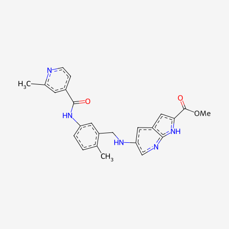 COC(=O)c1cc2cc(NCc3cc(NC(=O)c4ccnc(C)c4)ccc3C)cnc2[nH]1